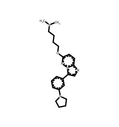 CN(C)CCCCOc1ccc2ncc(-c3cccc(N4CCCC4)c3)n2n1